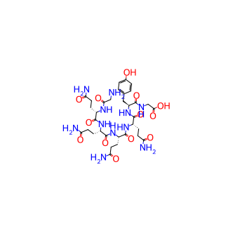 NCC(=O)N[C@@H](CCC(N)=O)C(=O)N[C@@H](CCC(N)=O)C(=O)N[C@@H](CCC(N)=O)C(=O)N[C@@H](CCC(N)=O)C(=O)N[C@@H](Cc1ccc(O)cc1)C(=O)NCC(=O)O